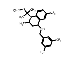 CC1CC(NCc2cc(C(F)(F)F)cc(C(F)(F)F)c2)c2cc(C(F)(F)F)ccc2N1C(C)(C)OC=O